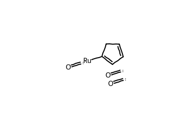 [C]=O.[C]=O.[C]=O.[Ru][C]1=CC=CC1